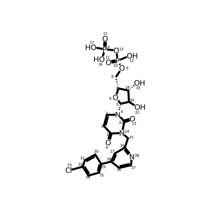 O=c1ccn([C@@H]2O[C@H](COP(=O)(O)OP(=O)(O)O)[C@H](O)C2O)c(=O)n1Cc1cc(-c2ccc(Cl)cc2)ccn1